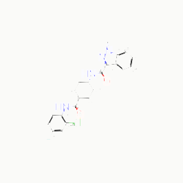 Cn1nc(C(=O)NC2CCC(C(=O)Nc3ccc(F)cc3Cl)CC2)c2ccccc21